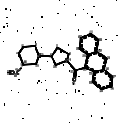 O=C(O)[C@@H]1CCCN(C2CCN(C(=O)c3c4ccccc4cc4ccccc34)C2)C1